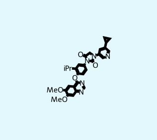 COc1cc2ncnc(Oc3ccc(N4C(=O)CN(c5cncc(C6CC6)c5)C4=O)cc3C(C)C)c2cc1OC